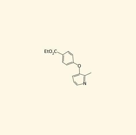 CCOC(=O)c1ccc(Oc2cccnc2C)cc1